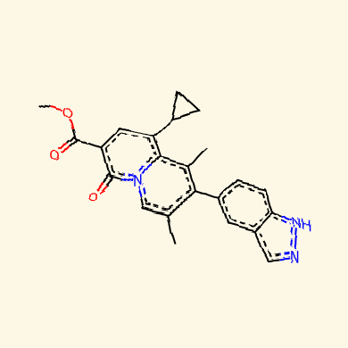 COC(=O)c1cc(C2CC2)c2c(C)c(-c3ccc4[nH]ncc4c3)c(C)cn2c1=O